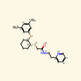 CC(C)(C)c1cc(S[C@@H]2CCCC[C@H]2SCC(=O)NCCc2ccccn2)cc(C(C)(C)C)c1